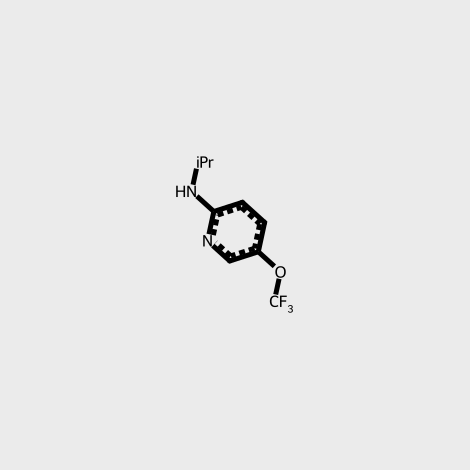 CC(C)Nc1ccc(OC(F)(F)F)cn1